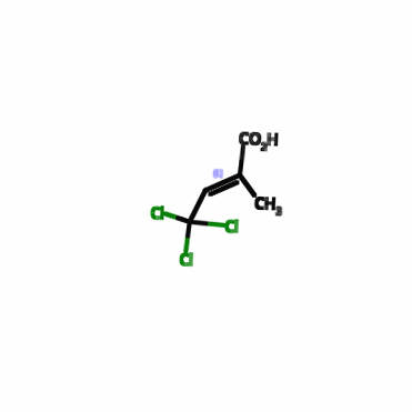 C/C(=C\C(Cl)(Cl)Cl)C(=O)O